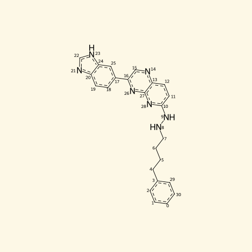 c1ccc(CCCCNNc2ccc3ncc(-c4ccc5nc[nH]c5c4)nc3n2)cc1